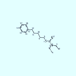 CCN(CC)C(=S)SCCCCCc1ccccc1